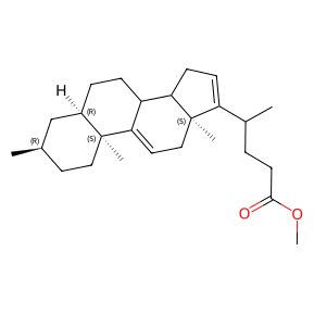 COC(=O)CCC(C)C1=CCC2C3CC[C@@H]4C[C@H](C)CC[C@]4(C)C3=CC[C@]12C